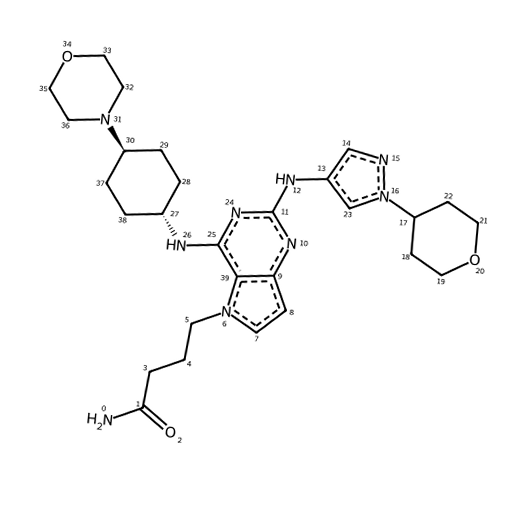 NC(=O)CCCn1ccc2nc(Nc3cnn(C4CCOCC4)c3)nc(N[C@H]3CC[C@H](N4CCOCC4)CC3)c21